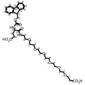 O=C(O)CCOCCOCCOCCOCCOCCOCCNC(=O)C(CCC(=O)O)NC(=O)OCC1c2ccccc2-c2ccccc21